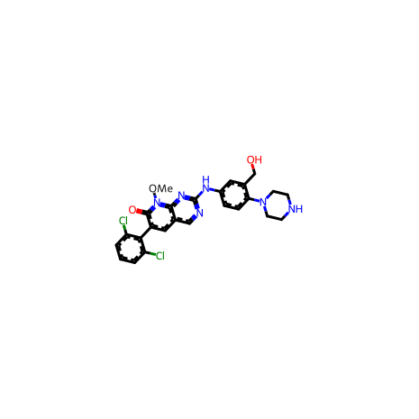 COn1c(=O)c(-c2c(Cl)cccc2Cl)cc2cnc(Nc3ccc(N4CCNCC4)c(CO)c3)nc21